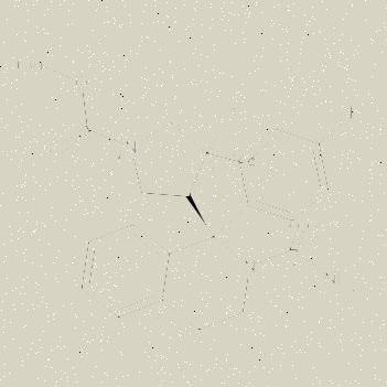 CC(C)(C)OC(=O)N1CC([C@]2(c3ccc(F)cc3)c3ccccc3CCN2C(N)=O)C(F)(F)C1